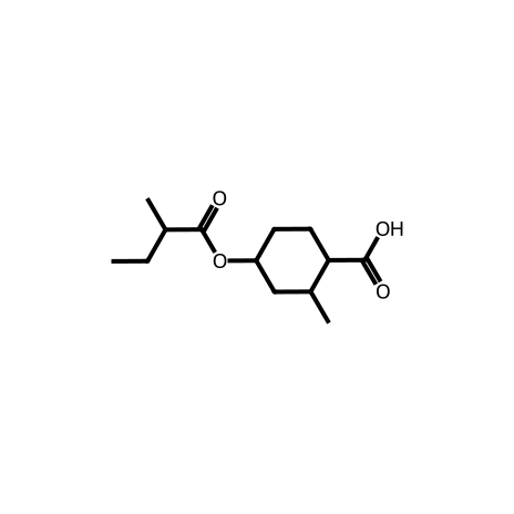 CCC(C)C(=O)OC1CCC(C(=O)O)C(C)C1